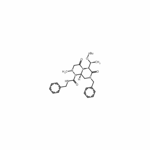 CCCCO[C@@H](C)[C@H]1C(=O)N(Cc2ccccc2)C[C@H]2N1C(=O)CN(C)N2C(=O)NCc1ccccc1